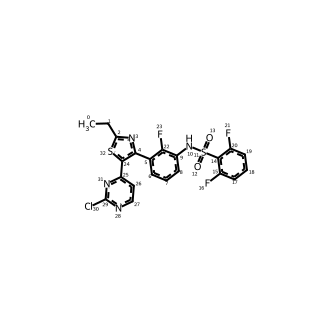 CCc1nc(-c2cccc(NS(=O)(=O)c3c(F)cccc3F)c2F)c(-c2ccnc(Cl)n2)s1